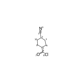 N#CC1CCC(C(=O)Cl)CC1